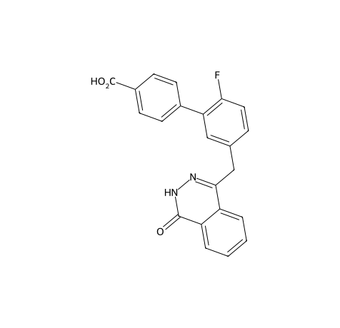 O=C(O)c1ccc(-c2cc(Cc3n[nH]c(=O)c4ccccc34)ccc2F)cc1